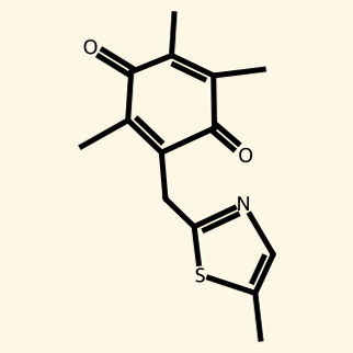 CC1=C(C)C(=O)C(Cc2ncc(C)s2)=C(C)C1=O